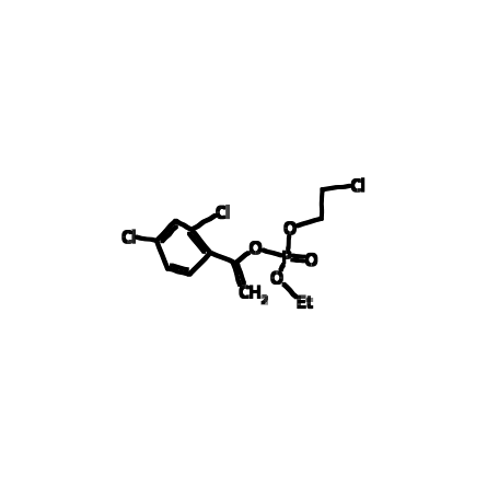 C=C(OP(=O)(OCC)OCCCl)c1ccc(Cl)cc1Cl